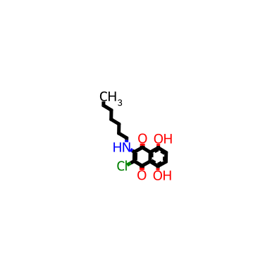 CCCCCCCNC1=C(Cl)C(=O)c2c(O)ccc(O)c2C1=O